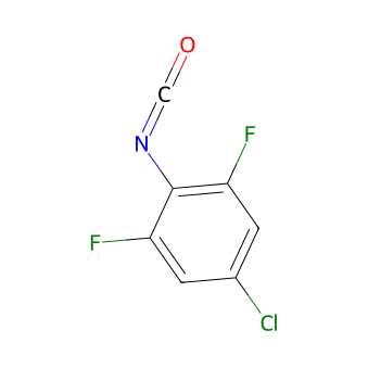 O=C=Nc1c(F)cc(Cl)cc1F